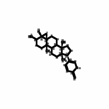 C[C@]12CCC(O)[C@@H]3C[C@@]31CCC1C2CC[C@]2(C)[C@@H](c3ccc(=O)oc3)CC[C@]12O